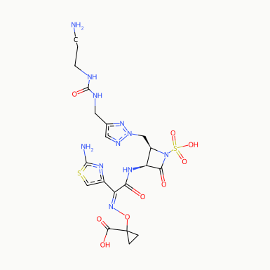 NCCCNC(=O)NCc1cnn(C[C@@H]2[C@H](NC(=O)/C(=N\OC3(C(=O)O)CC3)c3csc(N)n3)C(=O)N2S(=O)(=O)O)n1